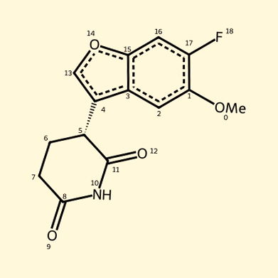 COc1cc2c([C@H]3CCC(=O)NC3=O)coc2cc1F